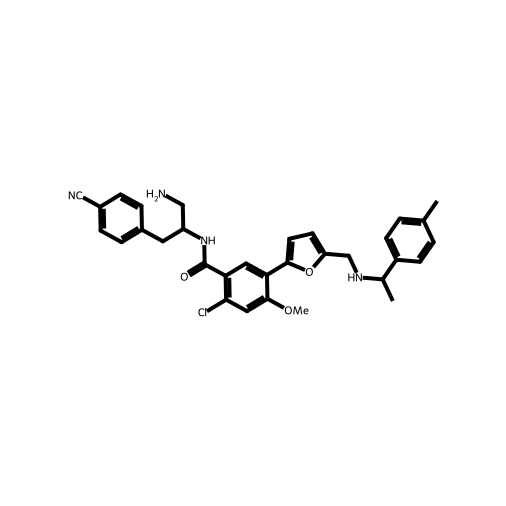 COc1cc(Cl)c(C(=O)NC(CN)Cc2ccc(C#N)cc2)cc1-c1ccc(CNC(C)c2ccc(C)cc2)o1